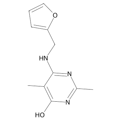 Cc1nc(O)c(C)c(NCc2ccco2)n1